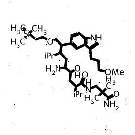 COCCCc1c[nH]c2ccc(C(COCC[Si](C)(C)C)C(CC(N)C(O)CC(C(=O)NCC(C)(C)C(N)=O)C(C)C)C(C)C)cc12